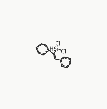 Cl[SiH](Cl)C(=Cc1ccccc1)c1ccccc1